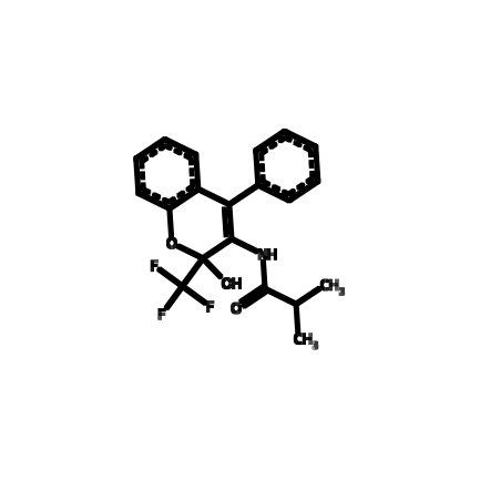 CC(C)C(=O)NC1=C(c2ccccc2)c2ccccc2OC1(O)C(F)(F)F